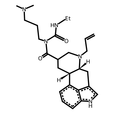 C=CCN1CC(C(=O)N(CCCN(C)C)C(=O)NCC)C[C@H]2c3cccc4[nH]cc(c34)C[C@H]21